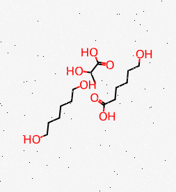 CC(O)C(=O)O.O=C(O)CCCCCO.OCCCCCCO